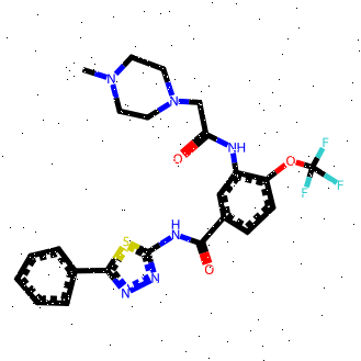 CN1CCN(CC(=O)Nc2cc(C(=O)Nc3nnc(-c4ccccc4)s3)ccc2OC(F)(F)F)CC1